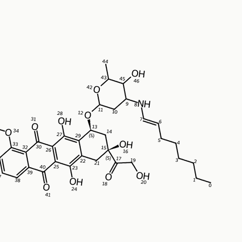 CCCCCCC=CNC1CC(O[C@H]2C[C@](O)(C(=O)CO)Cc3c(O)c4c(c(O)c32)C(=O)c2c(OC)cccc2C4=O)OC(C)C1O